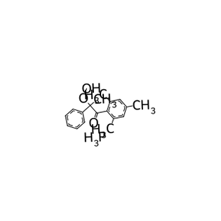 Cc1cc(C)c(C(=O)C(C)(OO)c2ccccc2)c(C)c1.P